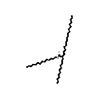 CCCCCCCCCCCCCCCCCCC(CCCCCCCCCCCC)C(=O)OCCCCCCCCCCCCCC